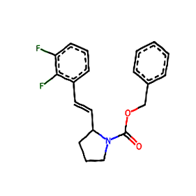 O=C(OCc1ccccc1)N1CCCC1C=Cc1cccc(F)c1F